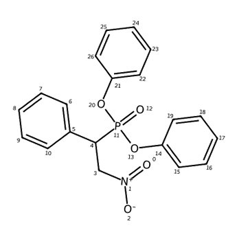 O=[N+]([O-])CC(c1ccccc1)P(=O)(Oc1ccccc1)Oc1ccccc1